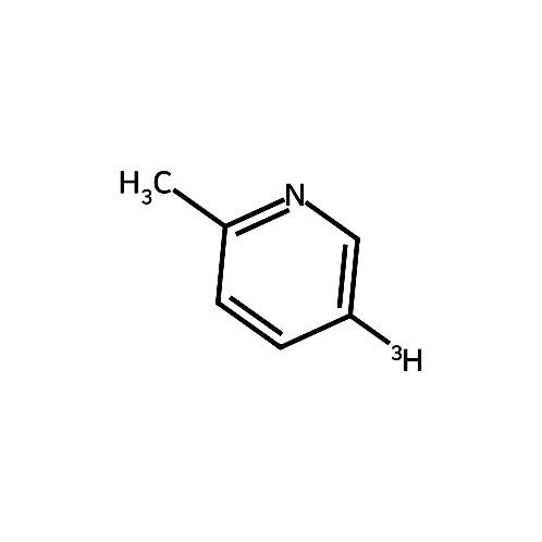 [3H]c1ccc(C)nc1